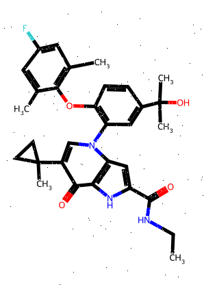 CCNC(=O)c1cc2c([nH]1)c(=O)c(C1(C)CC1)cn2-c1cc(C(C)(C)O)ccc1Oc1c(C)cc(F)cc1C